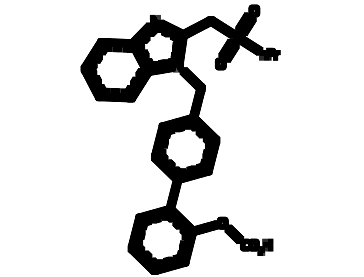 CCCS(=O)(=O)Cc1nc2ccccc2n1Cc1ccc(-c2ccccc2OC(=O)O)cc1